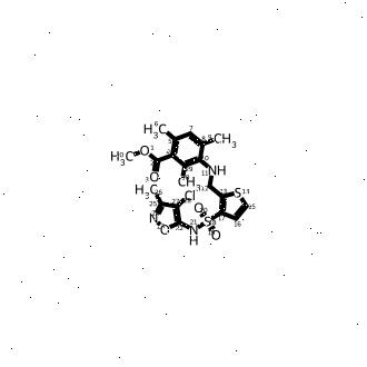 COC(=O)c1c(C)cc(C)c(NCc2sccc2S(=O)(=O)Nc2onc(C)c2Cl)c1C